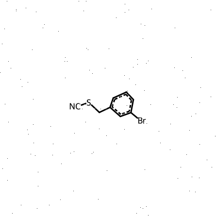 N#CSCc1cccc(Br)c1